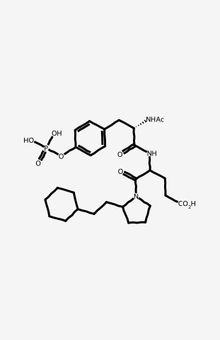 CC(=O)N[C@@H](Cc1ccc(OP(=O)(O)O)cc1)C(=O)NC(CCC(=O)O)C(=O)N1CCCC1CCC1CCCCC1